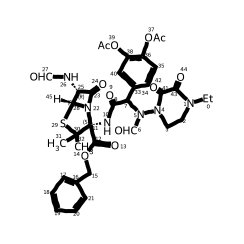 CCN1CCN(N(C=O)C(C(=O)N[C@@]2(C(=O)OCc3ccccc3)N3C(=O)[C@@H](NC=O)[C@H]3SC2(C)C)c2ccc(OC(C)=O)c(OC(C)=O)c2)C(=O)C1=O